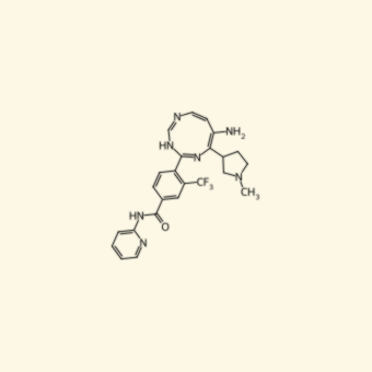 CN1CCC(c2nc(-c3ccc(C(=O)Nc4ccccn4)cc3C(F)(F)F)[nH]cnccc2N)C1